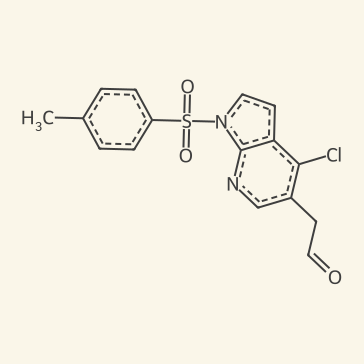 Cc1ccc(S(=O)(=O)n2ccc3c(Cl)c(CC=O)cnc32)cc1